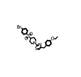 CCOc1ccc(Cc2csc(N3CCC(S(=O)(=O)c4ccc(Br)cc4)CC3)n2)cc1